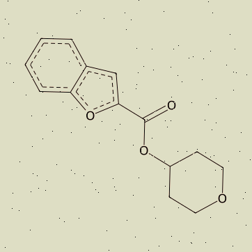 O=C(OC1CCOCC1)c1cc2ccccc2o1